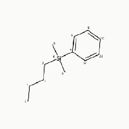 CCCC[Si](C)(C)c1cc[c]cc1